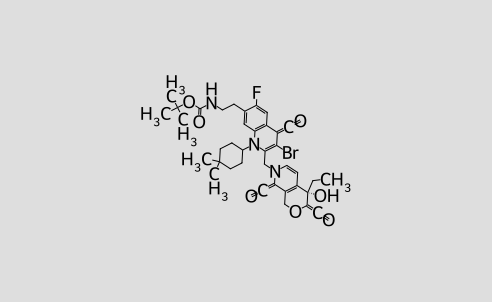 CC[C@@]1(O)C(=C=O)OCC2=C1C=CN(CC1=C(Br)C(=C=O)c3cc(F)c(CCNC(=O)OC(C)(C)C)cc3N1C1CCC(C)(C)CC1)C2=C=O